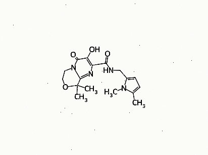 Cc1ccc(CNC(=O)c2nc3n(c(=O)c2O)CCOC3(C)C)n1C